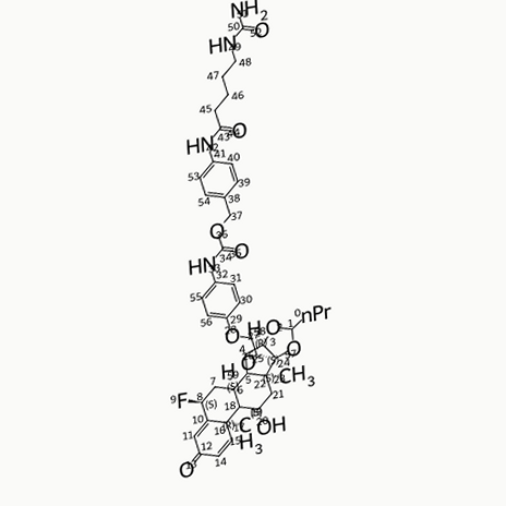 CCCC1O[C@@H]2CC3[C@@H]4C[C@H](F)C5=CC(=O)C=C[C@]5(C)C4[C@@H](O)C[C@]3(C)[C@]2(C(=O)COc2ccc(NC(=O)OCc3ccc(NC(=O)CCCCNC(N)=O)cc3)cc2)O1